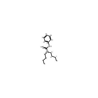 CCCCN(CCCC)C(=S)Sc1ccccc1